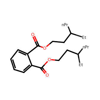 CCCC(CC)CCOC(=O)c1ccccc1C(=O)OCCC(CC)CCC